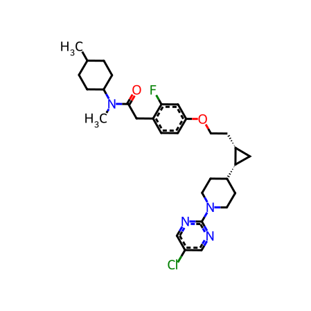 CC1CCC(N(C)C(=O)Cc2ccc(OCC[C@@H]3C[C@@H]3C3CCN(c4ncc(Cl)cn4)CC3)cc2F)CC1